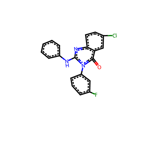 O=c1c2cc(Cl)ccc2nc(Nc2ccccc2)n1-c1cccc(F)c1